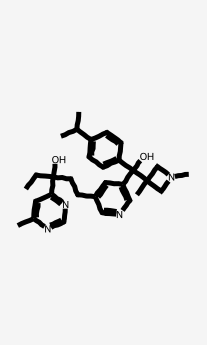 CCC(O)(CCc1cncc(C(O)(c2ccc(C(C)C)cc2)C2(C)CN(C)C2)c1)c1cc(C)ncn1